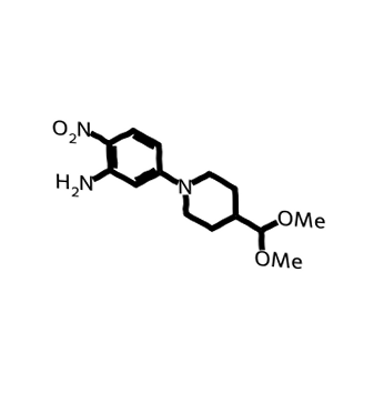 COC(OC)C1CCN(c2ccc([N+](=O)[O-])c(N)c2)CC1